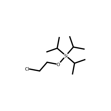 CC(C)[Si](OCCCl)(C(C)C)C(C)C